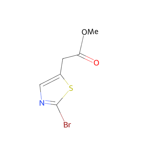 COC(=O)Cc1cnc(Br)s1